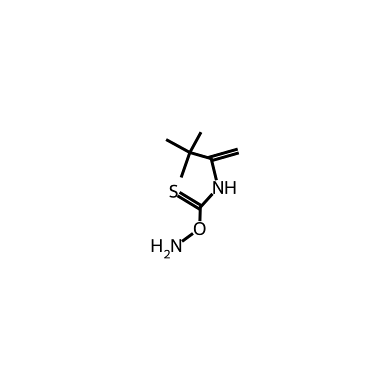 C=C(NC(=S)ON)C(C)(C)C